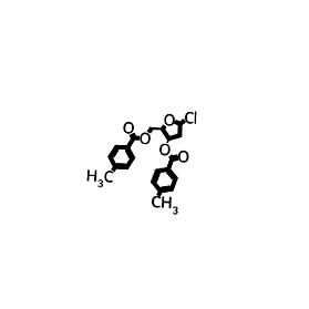 Cc1ccc(C(=O)OC[C@H]2OC(Cl)C[C@@H]2OC(=O)c2ccc(C)cc2)cc1